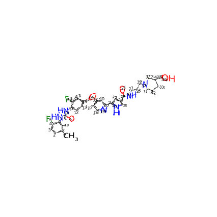 Cc1ccc(F)c(NC(=O)Nc2ccc(Oc3ccnc(-c4cc(C(=O)NCCCN5CCCC(CO)C5)c[nH]4)c3)cc2F)c1